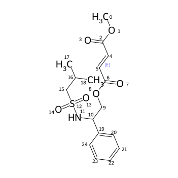 COC(=O)/C=C/C(=O)OCC(NS(=O)(=O)CC(C)C)c1ccccc1